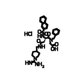 Cl.N=C(N)N1CCC(CNC(=O)C[C@H](NS(=O)(=O)c2ccc3ccccc3c2)C(=O)N(CC(=O)O)Cc2ccccc2)CC1